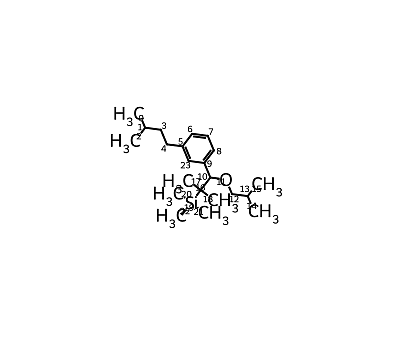 CC(C)CCc1cccc(C(OCC(C)C)C(C)(C)[Si](C)(C)C)c1